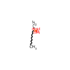 CCCCCCCCCCC(OCC)P(=O)(O)O